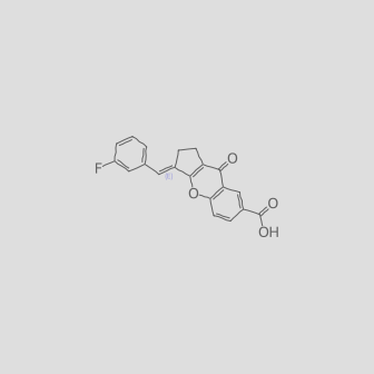 O=C(O)c1ccc2oc3c(c(=O)c2c1)CC/C3=C\c1cccc(F)c1